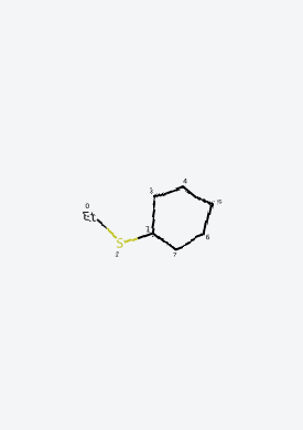 CCS[C]1CC[CH]CC1